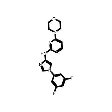 Fc1cc(F)cc(-n2cnc(Nc3cccc(N4CCOCC4)n3)c2)c1